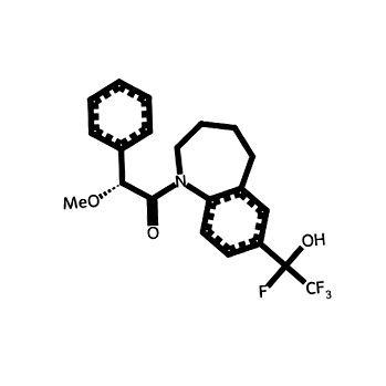 CO[C@@H](C(=O)N1CCCCc2cc(C(O)(F)C(F)(F)F)ccc21)c1ccccc1